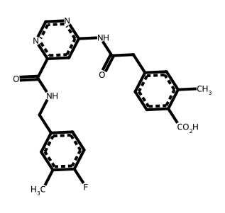 Cc1cc(CNC(=O)c2cc(NC(=O)Cc3ccc(C(=O)O)c(C)c3)ncn2)ccc1F